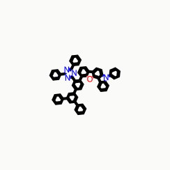 c1ccc(-c2cc(-c3ccccc3)cc(-c3ccc(-c4cccc5c4oc4c5ccc5c4c4ccccc4n5-c4ccccc4)c(-c4nc(-c5ccccc5)nc(-c5ccccc5)n4)c3)c2)cc1